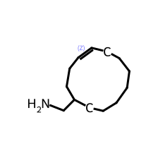 NCC1CC/C=C\CCCCCCC1